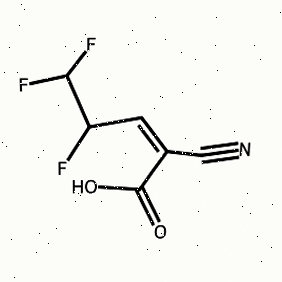 N#CC(=CC(F)C(F)F)C(=O)O